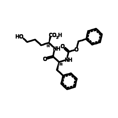 O=C(N[C@@H](Cc1ccccc1)C(=O)N[C@@H](CCCO)C(=O)O)OCc1ccccc1